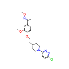 CON=C(C)c1ccc(OCCC2CCN(c3ccc(Cl)nn3)CC2)c(OC)c1